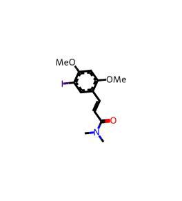 COc1cc(OC)c(C=CC(=O)N(C)C)cc1I